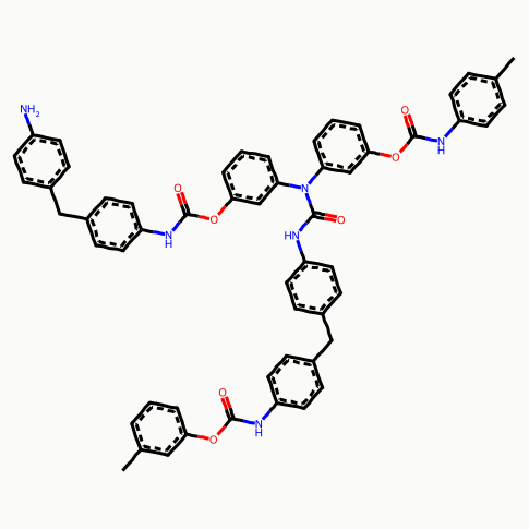 Cc1ccc(NC(=O)Oc2cccc(N(C(=O)Nc3ccc(Cc4ccc(NC(=O)Oc5cccc(C)c5)cc4)cc3)c3cccc(OC(=O)Nc4ccc(Cc5ccc(N)cc5)cc4)c3)c2)cc1